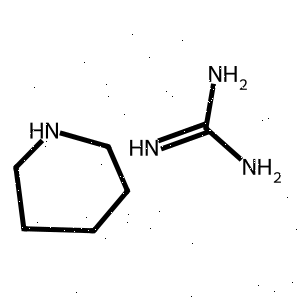 C1CCNCC1.N=C(N)N